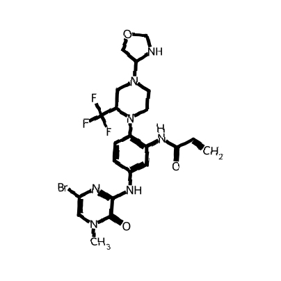 C=CC(=O)Nc1cc(Nc2nc(Br)cn(C)c2=O)ccc1N1CCN(C2COCN2)CC1C(F)(F)F